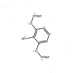 [CH2]CCc1c(OCCCCCCC)cccc1OCCCCCCC